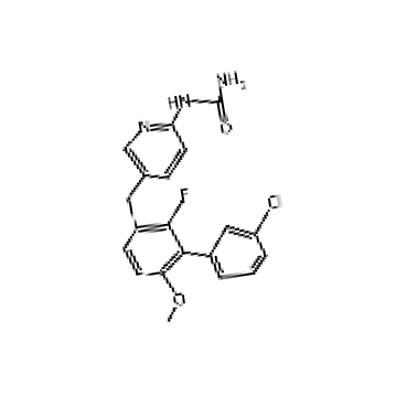 COc1ccc(Cc2ccc(NC(N)=O)nc2)c(F)c1-c1cccc(Cl)c1